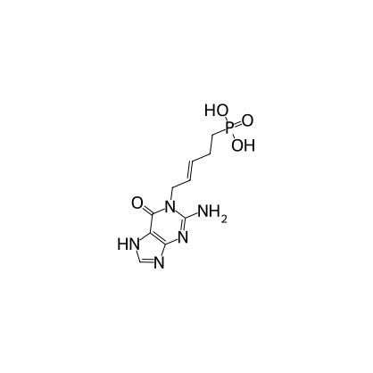 Nc1nc2nc[nH]c2c(=O)n1CC=CCCP(=O)(O)O